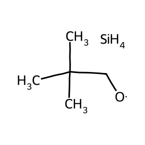 CC(C)(C)C[O].[SiH4]